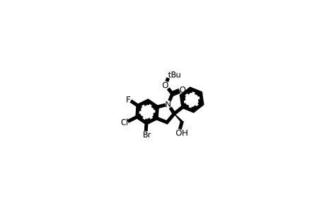 CC(C)(C)OC(=O)N1c2cc(F)c(Cl)c(Br)c2C[C@@]1(CO)c1ccccc1